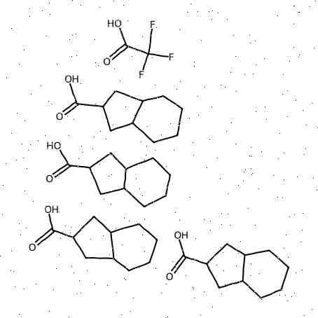 O=C(O)C(F)(F)F.O=C(O)C1CC2CCCCC2C1.O=C(O)C1CC2CCCCC2C1.O=C(O)C1CC2CCCCC2C1.O=C(O)C1CC2CCCCC2C1